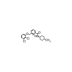 CC1CCC(NC(=O)c2cccc(COc3cccc(Cl)c3Cl)n2)CC1